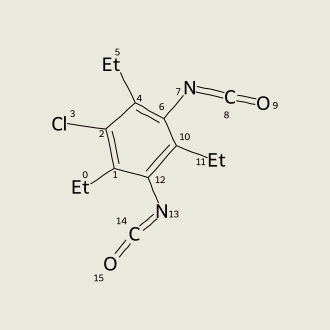 CCc1c(Cl)c(CC)c(N=C=O)c(CC)c1N=C=O